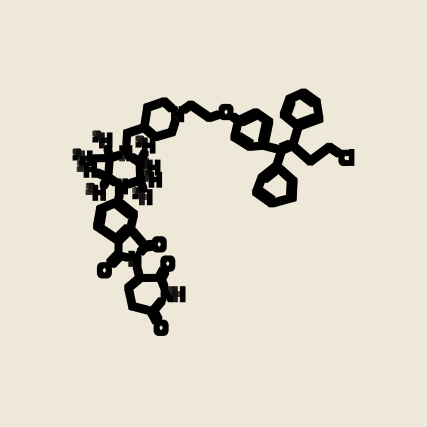 [2H]C1([2H])N(CC2CCN(CCOc3ccc(C(=C(CCCl)c4ccccc4)c4ccccc4)cc3)CC2)C([2H])([2H])C([2H])([2H])N(c2ccc3c(c2)C(=O)N(C2CCC(=O)NC2=O)C3=O)C1([2H])[2H]